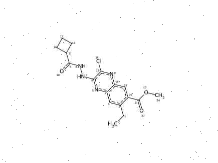 CCc1cc2nc(NNC(=O)C3CCC3)c(Cl)nc2cc1C(=O)OC